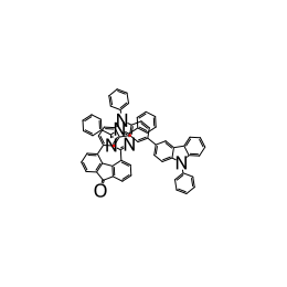 O=C1c2cccc(-c3ccc4c(c3)c3cc(-c5ccc6c(c5)c5ccccc5n6-c5ccccc5)ccc3n4-c3ccccc3)c2-c2c1cccc2-c1nc(-c2ccccc2)nc(-c2ccccc2)n1